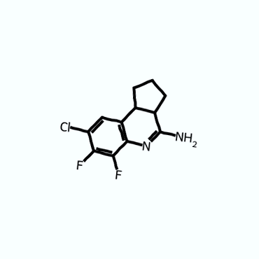 NC1=Nc2c(cc(Cl)c(F)c2F)C2CCCC12